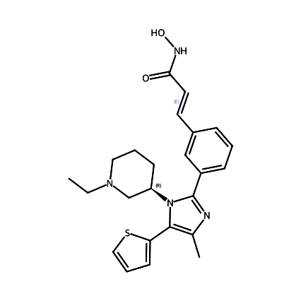 CCN1CCC[C@@H](n2c(-c3cccc(/C=C/C(=O)NO)c3)nc(C)c2-c2cccs2)C1